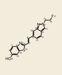 Oc1ccc2nc(/C=C/c3ccc4cn(CCF)nc4c3)sc2c1